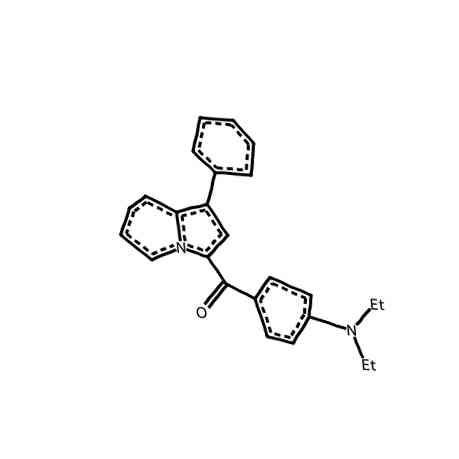 CCN(CC)c1ccc(C(=O)c2cc(-c3ccccc3)c3ccccn23)cc1